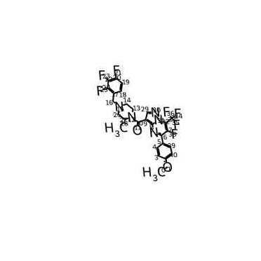 COc1ccc(-c2nc3c(C(=O)N4CCN(Cc5ccc(F)c(F)c5F)C[C@H]4C)cnn3c(C(F)(F)F)c2F)cc1